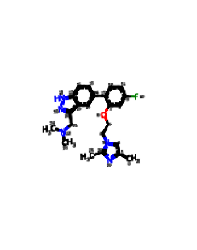 Cc1cn(CCOc2cc(F)ccc2-c2ccc3[nH]nc(CN(C)C)c3c2)c(C)n1